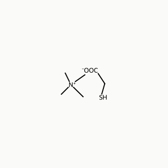 C[N+](C)(C)C.O=C([O-])CS